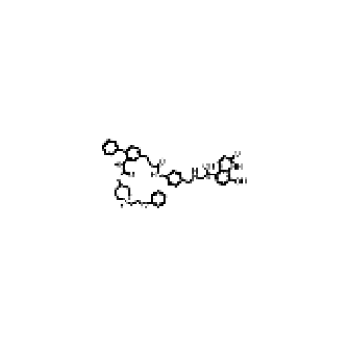 C[N+]1(CCOc2ccccc2)CCC(OC(=O)Nc2cc(CCC(=O)Nc3ccc(CNC[C@@H](O)c4ccc(O)c5[nH]c(=O)ccc45)cc3)ccc2-c2ccccc2)CC1